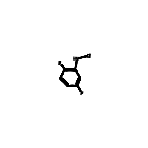 Fc1ccc(F)c(NCl)c1